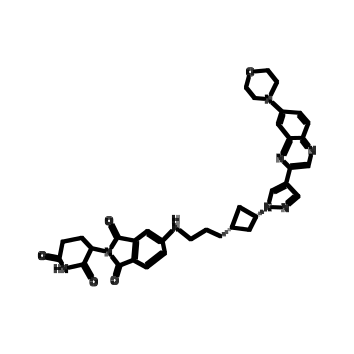 O=C1CCC(N2C(=O)c3ccc(NCCC[C@H]4C[C@@H](n5cc(-c6cnc7ccc(N8CCOCC8)cc7n6)cn5)C4)cc3C2=O)C(=O)N1